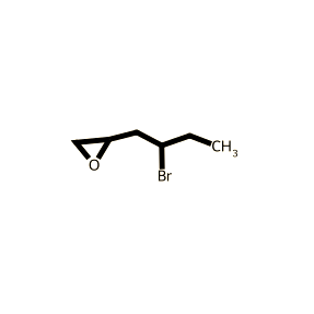 CCC(Br)CC1CO1